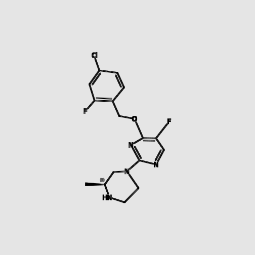 C[C@H]1CN(c2ncc(F)c(OCc3ccc(Cl)cc3F)n2)CCN1